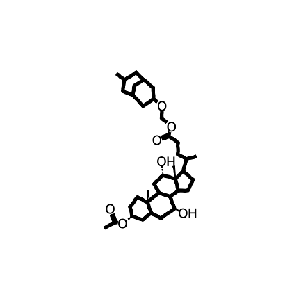 CC(=O)O[C@@H]1CC[C@@]2(C)C(C1)C[C@@H](O)C1C2C[C@H](O)[C@]2(C)C(C(C)CCC(=O)OCOC3CC4CC(C)CC(C4)C3)CCC12